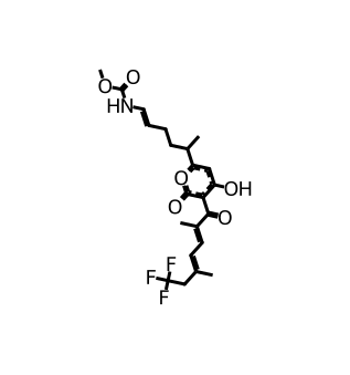 COC(=O)N/C=C/CCC(C)c1cc(O)c(C(=O)/C(C)=C/C=C(\C)CC(F)(F)F)c(=O)o1